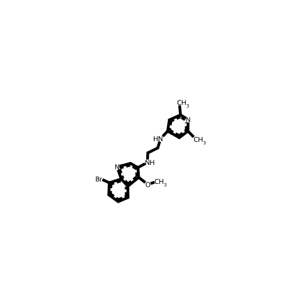 COc1c(NCCNc2cc(C)nc(C)c2)cnc2c(Br)cccc12